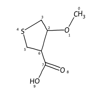 COC1CSCC1C(=O)O